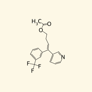 CC(=O)OCCC=C(c1cccnc1)c1cccc(C(F)(F)F)c1